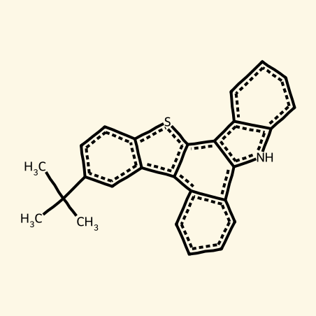 CC(C)(C)c1ccc2sc3c(c2c1)c1ccccc1c1[nH]c2ccccc2c13